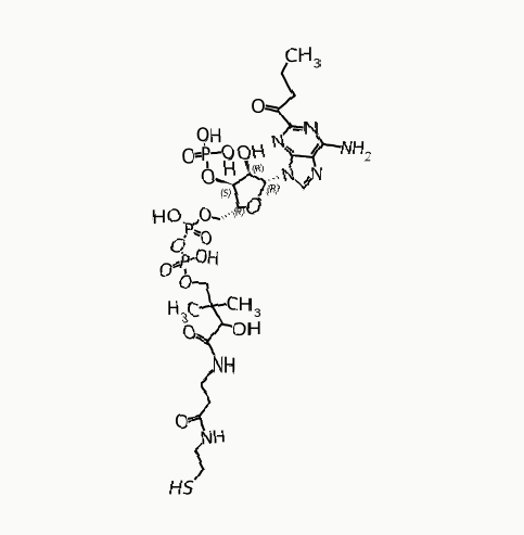 CCCC(=O)c1nc(N)c2ncn([C@@H]3O[C@H](COP(=O)(O)OP(=O)(O)OCC(C)(C)C(O)C(=O)NCCC(=O)NCCS)[C@@H](OP(=O)(O)O)[C@H]3O)c2n1